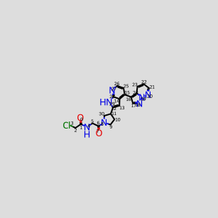 O=C(CCl)NCC(=O)N1CCC(c2cc3c(-c4cnn5ncccc45)ccnc3[nH]2)C1